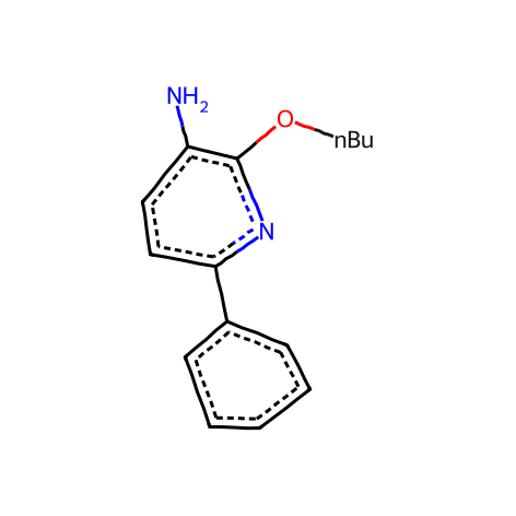 CCCCOc1nc(-c2ccccc2)ccc1N